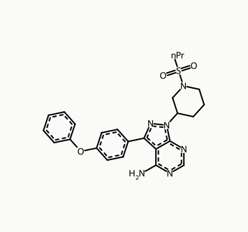 CCCS(=O)(=O)N1CCCC(n2nc(-c3ccc(Oc4ccccc4)cc3)c3c(N)ncnc32)C1